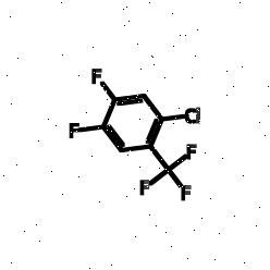 Fc1cc(Cl)c(C(F)(F)F)cc1F